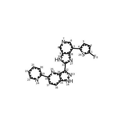 Fc1ccc(-c2cncc3[nH]c(-c4n[nH]c5ccc(-c6ccccn6)nc45)nc23)s1